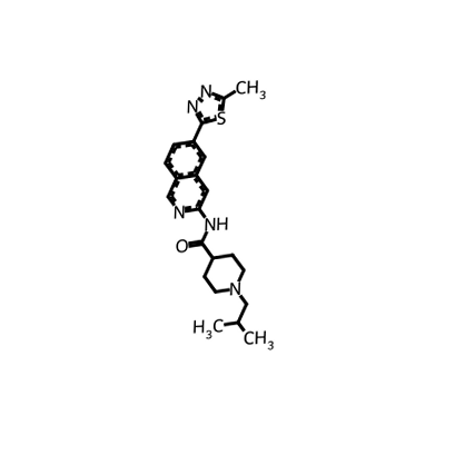 Cc1nnc(-c2ccc3cnc(NC(=O)C4CCN(CC(C)C)CC4)cc3c2)s1